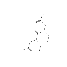 CCC(CC(=O)O)C(=O)C(CC)CC(=O)O